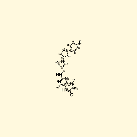 Cc1nc(NCc2cnn(C3CCC(c4ccc(F)cc4)C3)c2)nc2c1NC(=O)[C@H](C)N2C